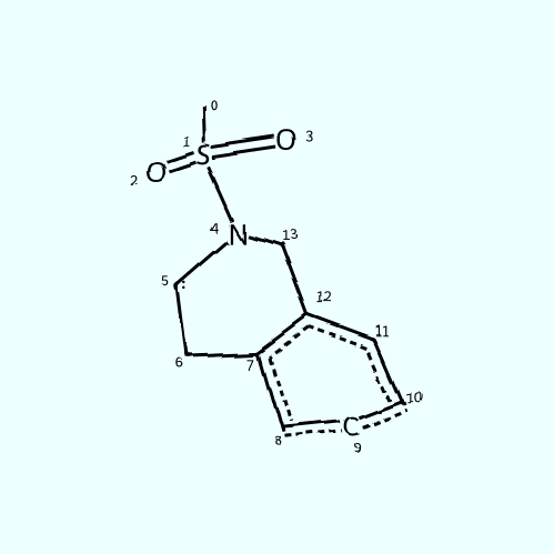 CS(=O)(=O)N1[C]Cc2ccccc2C1